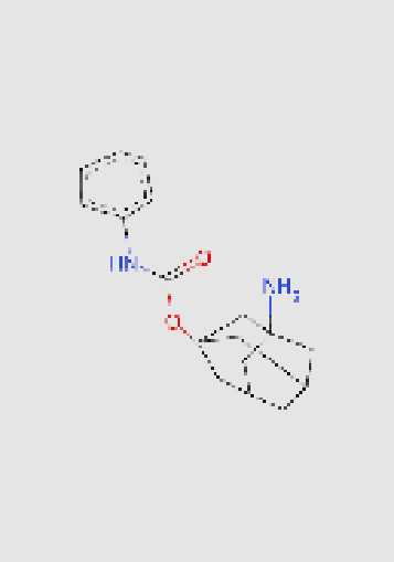 NC12CC3CC(C1)CC(OC(=O)Nc1ccccc1)(C3)C2